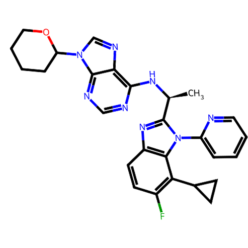 C[C@H](Nc1ncnc2c1ncn2C1CCCCO1)c1nc2ccc(F)c(C3CC3)c2n1-c1ccccn1